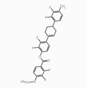 CCCCCOc1ccc(C(=O)Oc2ccc(C3=CCC(c4ccc(C)c(F)c4F)CC3)c(F)c2F)c(F)c1F